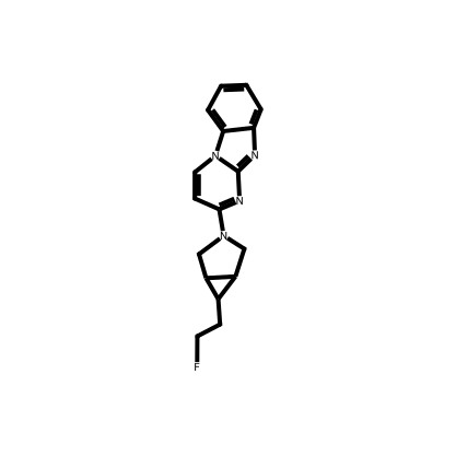 FCCC1C2CN(c3ccn4c(n3)nc3ccccc34)CC12